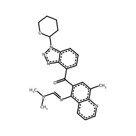 Cc1cc(C(=O)c2cccc3c2nnn3C2CCCCO2)c(N=CN(C)C)c2cccnc12